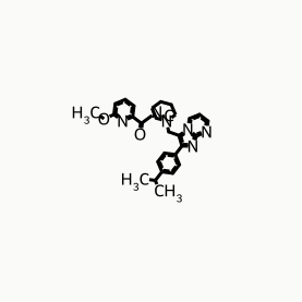 COc1cccc(C(=O)N2CCC3CCC2CN3Cc2c(-c3ccc(C(C)C)cc3)nc3ncccn23)n1